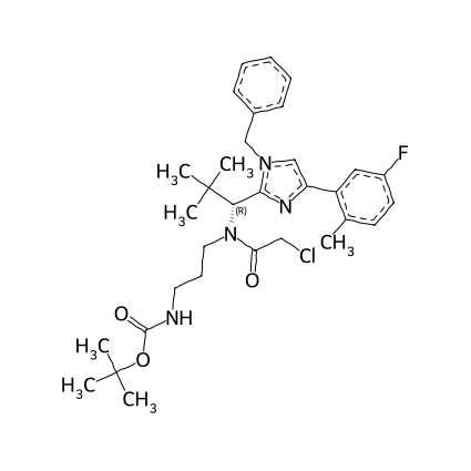 Cc1ccc(F)cc1-c1cn(Cc2ccccc2)c([C@H](N(CCCNC(=O)OC(C)(C)C)C(=O)CCl)C(C)(C)C)n1